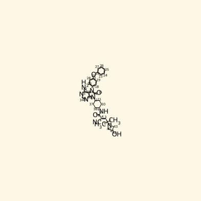 CC(C)(C=C(C#N)C(=O)NC1CCC(n2c(=O)n(-c3ccc(Oc4ccccc4)cc3)c3c(N)ncnc32)CC1)N1CC(O)C1